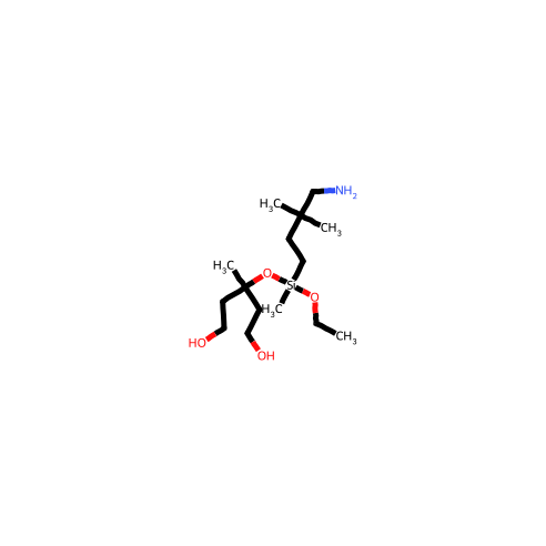 CCO[Si](C)(CCC(C)(C)CN)OC(C)(CCO)CCO